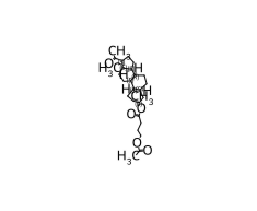 CC(=O)OCCCC(=O)O[C@@H]1CC[C@@]2(C)[C@@H](CC[C@@H]3[C@@H]2CC[C@]2(C)[C@@H](C(C)=O)CC[C@@H]32)C1